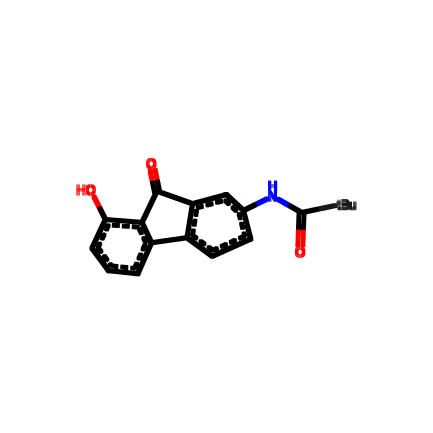 CC(C)(C)C(=O)Nc1ccc2c(c1)C(=O)c1c(O)cccc1-2